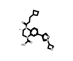 C[C@H]1CN(C(=O)O)c2cc(-c3cnn(C4COC4)c3)ccc2N1C(=O)CCC1CCC1